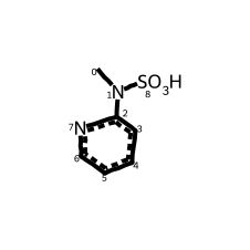 CN(c1ccccn1)S(=O)(=O)O